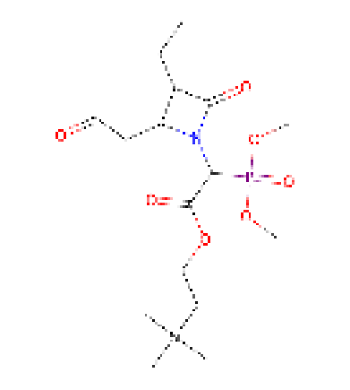 CCC1C(=O)N(C(C(=O)OCC[Si](C)(C)C)P(=O)(OC)OC)C1CC=O